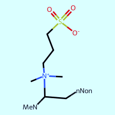 CCCCCCCCCCC(NC)[N+](C)(C)CCCS(=O)(=O)[O-]